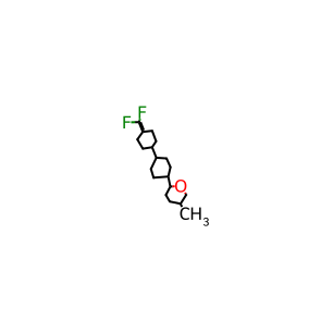 CC1CCC(C2CCC(C3CCC(=C(F)F)CC3)CC2)OC1